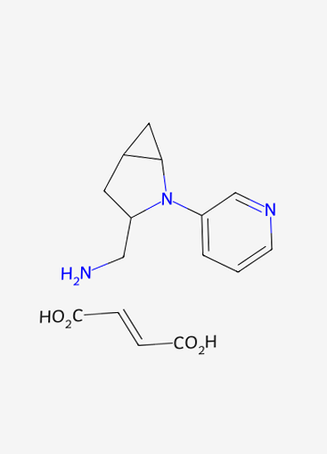 NCC1CC2CC2N1c1cccnc1.O=C(O)/C=C/C(=O)O